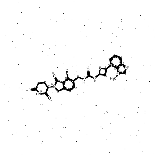 Cn1cnc2cccc(C3CC(OC(=O)NCc4ccc5c(c4F)C(=O)N([C@@H]4CCC(=O)NC4=O)C5)C3)c21